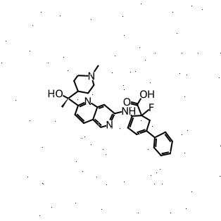 CN1CCC([C@@](C)(O)c2ccc3cnc(NC4=CC=C(c5ccccc5)CC4(F)C(=O)O)cc3n2)CC1